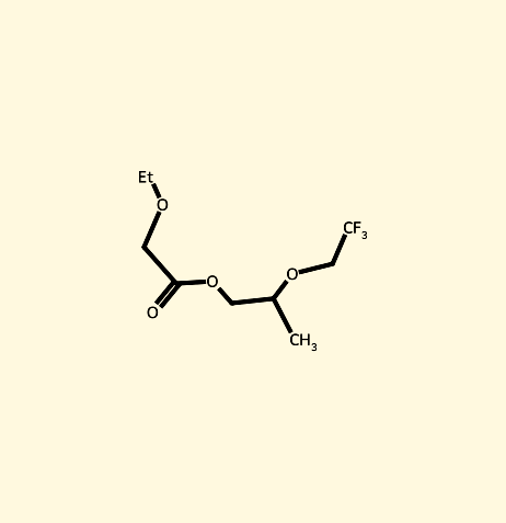 CCOCC(=O)OCC(C)OCC(F)(F)F